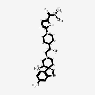 Cc1ccc2c(c1)NC[C@@]21CCN(C[C@@H](O)C2CCN(c3ncc(C(=O)N(C)C)o3)CC2)CC1C